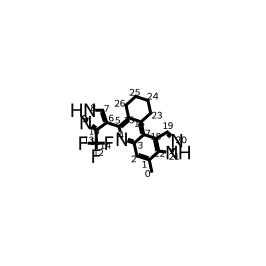 Cc1cc2nc(-c3c[nH]nc3C(F)(F)F)c3c(c2c2cn[nH]c12)CCCC3